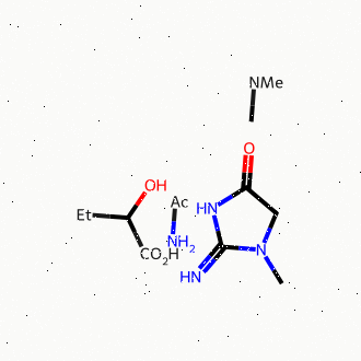 CC(N)=O.CCC(O)C(=O)O.CN1CC(=O)NC1=N.CNC